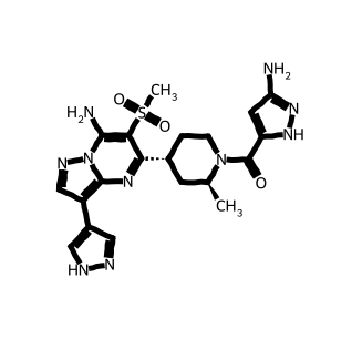 C[C@H]1C[C@H](c2nc3c(-c4cn[nH]c4)cnn3c(N)c2S(C)(=O)=O)CCN1C(=O)c1cc(N)n[nH]1